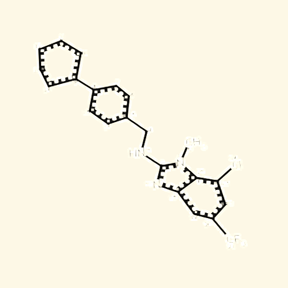 Cn1c(NCc2ccc(-c3ccccc3)cc2)nc2cc(C(F)(F)F)cc(Cl)c21